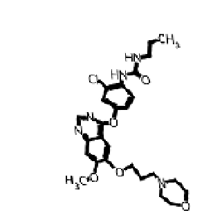 CCCNC(=O)Nc1ccc(Oc2ncnc3cc(OC)c(OCCCN4CCOCC4)cc23)cc1Cl